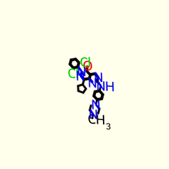 CN1CCN(c2ccc(Nc3ncc4c(=O)n(-c5c(Cl)cccc5Cl)nc(C5CCCC5)c4n3)cc2)CC1